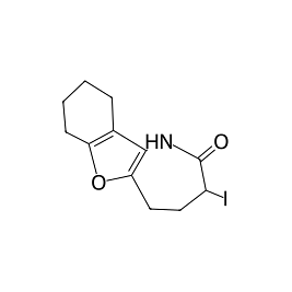 O=C1Nc2c(oc3c2CCCC3)CCC1I